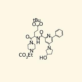 CCOC(=O)N1CCN(C(=O)C(CCC(=O)OC(C)(C)C)NC(=O)c2cc(N3CCC(O)C3)cc(-c3ccccc3)n2)CC1